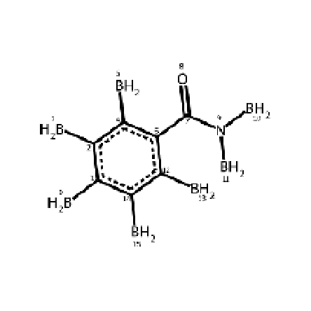 Bc1c(B)c(B)c(C(=O)N(B)B)c(B)c1B